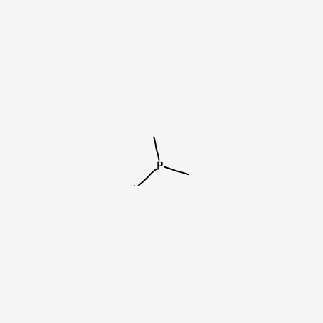 [CH2]P(C)C